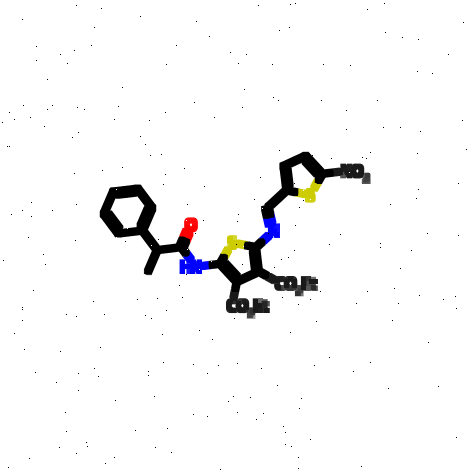 CCOC(=O)c1c(N=Cc2ccc([N+](=O)[O-])s2)sc(NC(=O)C(C)c2ccccc2)c1C(=O)OCC